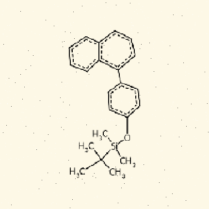 CC(C)(C)[Si](C)(C)Oc1ccc(-c2cccc3ccccc23)cc1